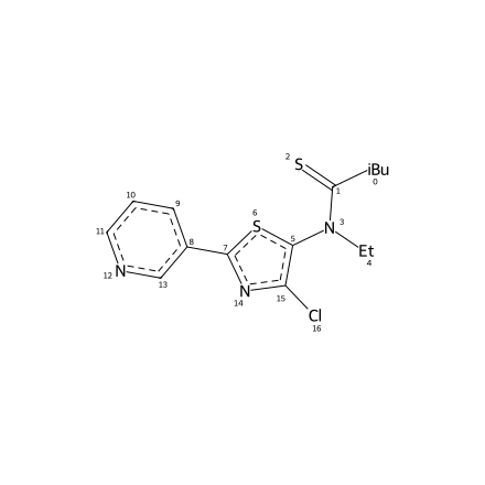 CCC(C)C(=S)N(CC)c1sc(-c2cccnc2)nc1Cl